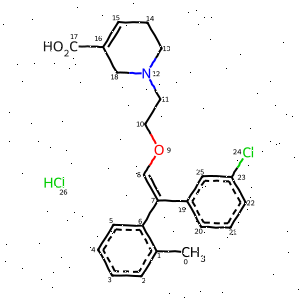 Cc1ccccc1C(=COCCN1CCC=C(C(=O)O)C1)c1cccc(Cl)c1.Cl